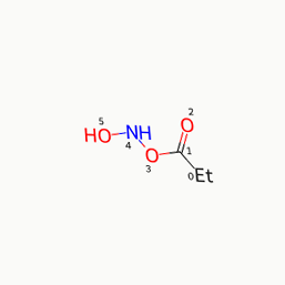 CCC(=O)ONO